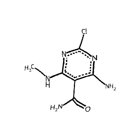 CNc1nc(Cl)nc(N)c1C(N)=O